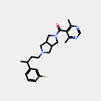 Cc1ncnc(C)c1C(=O)N1CC2CN(CCC(C)c3cccc(F)c3)CC2C1